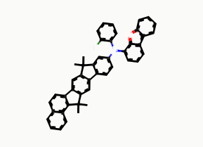 CC1(C)c2cc(N(c3ccccc3F)c3cccc4c3oc3ccccc34)ccc2-c2cc3c(cc21)-c1ccc2ccccc2c1C3(C)C